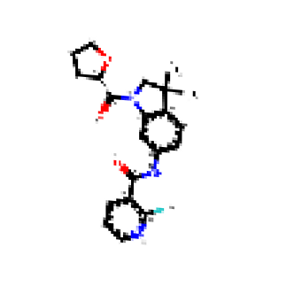 CC1(C)CN(C(=O)[C@@H]2CCCO2)c2cc(NC(=O)c3cccnc3F)ccc21